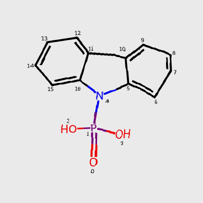 O=P(O)(O)n1c2ccccc2c2ccccc21